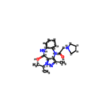 Cc1nn(C(C)C)c2c1N(C(=O)CN1CCCC1)c1ccccc1NC2=O